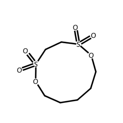 O=S1(=O)CCS(=O)(=O)OCCCCCO1